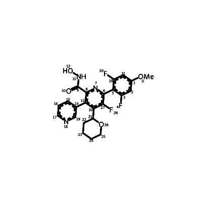 COc1cc(F)c(-c2nc(C(=O)NO)c(-c3cccnc3)c(C3CCCCO3)c2F)c(F)c1